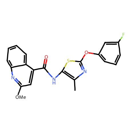 COc1cc(C(=O)Nc2sc(Oc3cccc(F)c3)nc2C)c2ccccc2n1